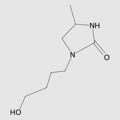 CC1CN(CCCCO)C(=O)N1